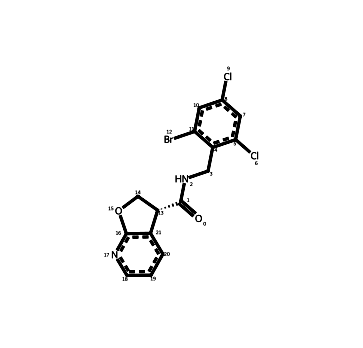 O=C(NCc1c(Cl)cc(Cl)cc1Br)[C@H]1COc2ncccc21